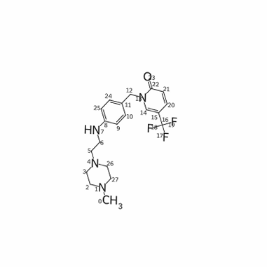 CN1CCN(CCNc2ccc(Cn3cc(C(F)(F)F)ccc3=O)cc2)CC1